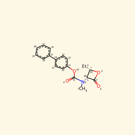 CC[C@@H]1OC(=O)[C@@H]1N(C)C(=O)Oc1ccc(-c2ccccc2)cc1